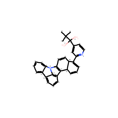 BC(B)(c1ccnc(C2=CC=CC3c4c(n5c6ccccc6c6cccc4c65)C=CC23)c1)C(C)(C)C